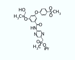 CC(C)OP(C)(=O)Cc1cnc(NC(=O)c2cc(Oc3ccc(S(C)(=O)=O)cc3)cc(O[C@@H](C)CO)c2)cn1